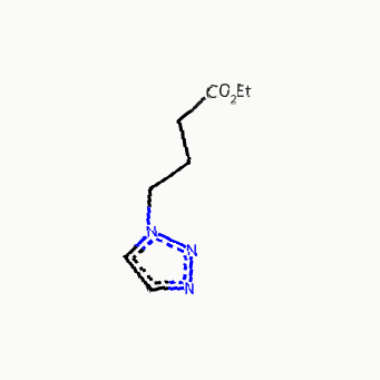 CCOC(=O)CCCn1ccnn1